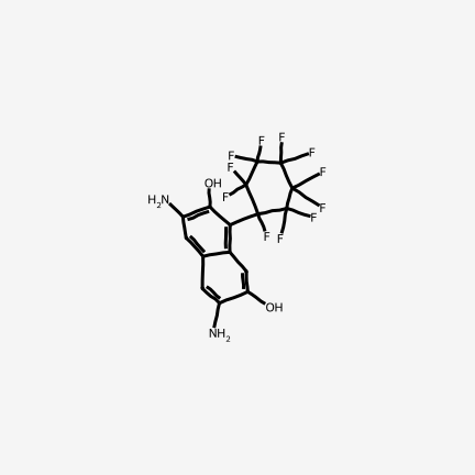 Nc1cc2cc(N)c(O)c(C3(F)C(F)(F)C(F)(F)C(F)(F)C(F)(F)C3(F)F)c2cc1O